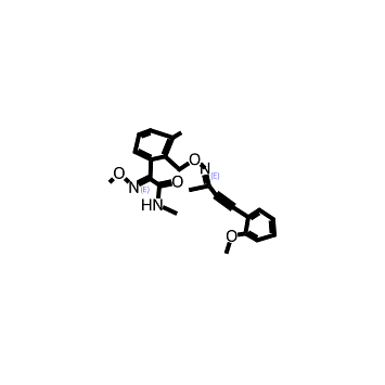 CNC(=O)/C(=N/OC)c1cccc(C)c1CO/N=C(\C)C#Cc1ccccc1OC